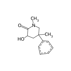 CN1CC(C)(c2ccccc2)CC(O)C1=O